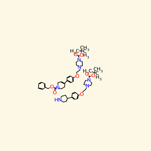 CC(C)(C)OC(=O)N1CCN(CCOc2ccc(C3=CCN(C(=O)OCc4ccccc4)CC3)cc2)CC1.CC(C)(C)OC(=O)N1CCN(CCOc2ccc(C3CCNCC3)cc2)CC1